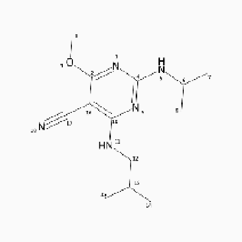 COc1nc(NC(C)C)nc(NCC(C)C)c1C#N